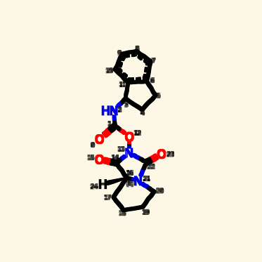 O=C(NC1CCc2ccccc21)ON1C(=O)[C@H]2CCCCN2C1=O